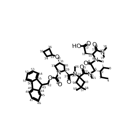 CCC(CC)[C@@H](C(=O)N(C)[C@@H](CC(=O)O)C(=O)N(C)C)N(C)C(=O)C1(N(C)C(=O)[C@@H]2C[C@@H](OC3CCC3)CN2C(=O)OCC2c3ccccc3-c3ccccc32)CC(C)(C)C1